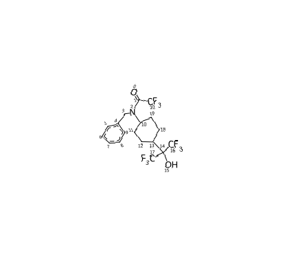 O=C(N(Cc1ccccc1)C1CCC(C(O)(C(F)(F)F)C(F)(F)F)CC1)C(F)(F)F